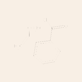 C=CC(=O)OCC.O=C(Cl)c1ccccc1